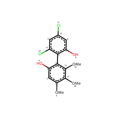 COc1cc(O)c(-c2c(O)cc(Cl)cc2Cl)c(OC)c1OC